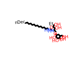 CCCCCCCCCCCCCCCCCCCCCCCCNC(=O)NC(COC1CC(CO)C(O)C(O)C1O)C(O)CC(O)CC